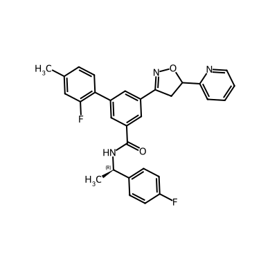 Cc1ccc(-c2cc(C(=O)N[C@H](C)c3ccc(F)cc3)cc(C3=NOC(c4ccccn4)C3)c2)c(F)c1